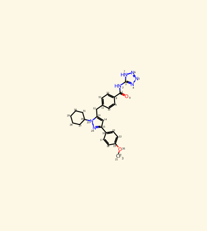 O=C(Nc1nnn[nH]1)c1ccc(Cc2cc(-c3ccc(OC(F)(F)F)cc3)nn2C2CCCCC2)cc1